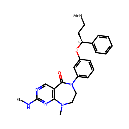 CCNc1ncc2c(n1)N(C)CCN(c1cccc(O[C@@H](CCNC)c3ccccc3)c1)C2=O